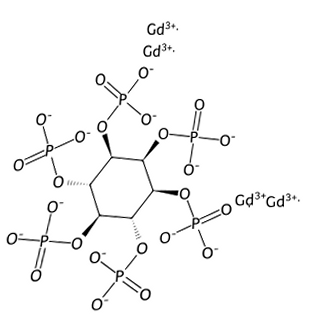 O=P([O-])([O-])O[C@H]1[C@H](OP(=O)([O-])[O-])[C@@H](OP(=O)([O-])[O-])[C@H](OP(=O)([O-])[O-])[C@@H](OP(=O)([O-])[O-])[C@H]1OP(=O)([O-])[O-].[Gd+3].[Gd+3].[Gd+3].[Gd+3]